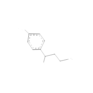 CCCCCCCCCCCC(CC)c1ccc(S(=O)(=O)O)cc1